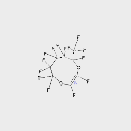 F/C1=C(\F)OC(F)(C(F)(F)F)C(F)(F)C(F)(F)C(F)(F)C(F)(F)O1